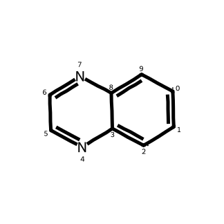 [c]1c[c]c2nccnc2c1